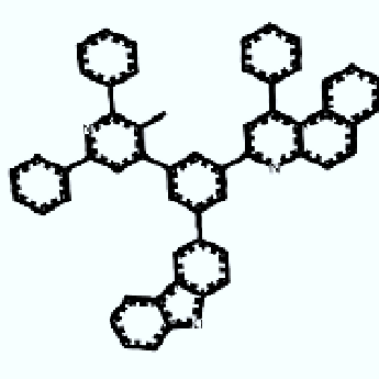 Cc1c(-c2cc(-c3ccc4oc5ccccc5c4c3)cc(-c3cc(-c4ccccc4)c4c(ccc5ccccc54)n3)c2)cc(-c2ccccc2)nc1-c1ccccc1